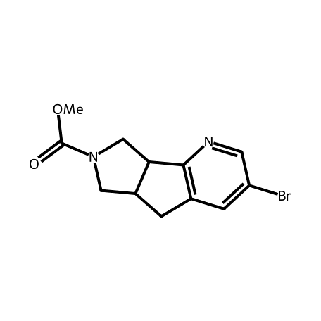 COC(=O)N1CC2Cc3cc(Br)cnc3C2C1